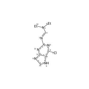 CCN(C=Nc1nc(Cl)c2[nH]cnc2n1)CC